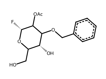 CC(=O)OC1C(OCc2ccccc2)[C@H](O)C(CO)O[C@@H]1F